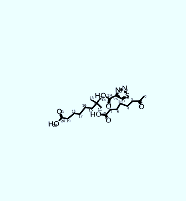 CC(=O)CCCCCC(=O)O.CC(C)(C)CCCCCC(=O)O.O=C(O)c1csnn1